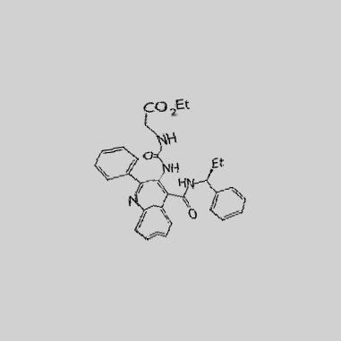 CCOC(=O)CNC(=O)Nc1c(-c2ccccc2)nc2ccccc2c1C(=O)N[C@@H](CC)c1ccccc1